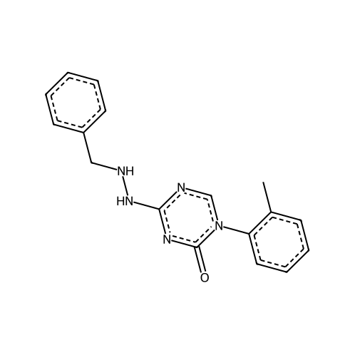 Cc1ccccc1-n1cnc(NNCc2ccccc2)nc1=O